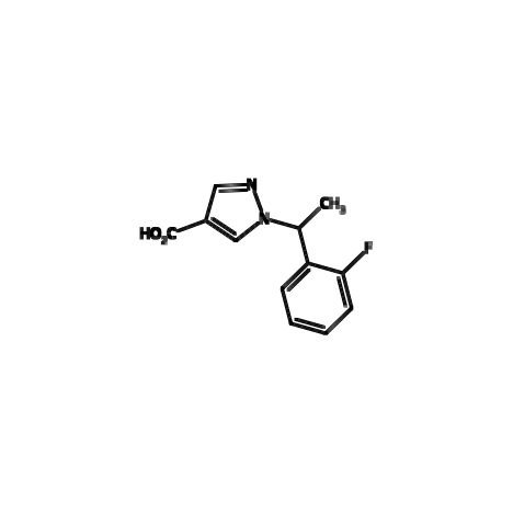 CC(c1ccccc1F)n1cc(C(=O)O)cn1